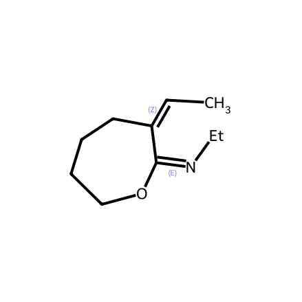 C/C=C1/CCCCO/C1=N/CC